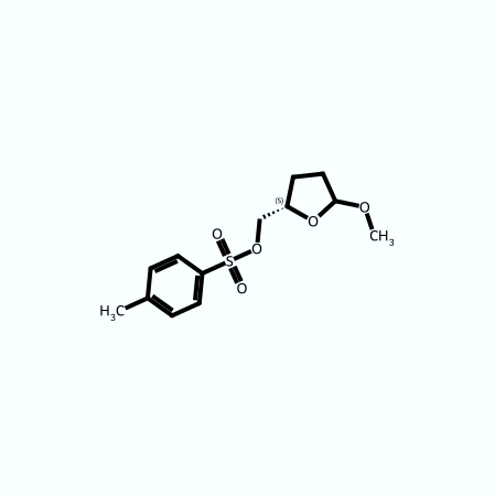 COC1CC[C@@H](COS(=O)(=O)c2ccc(C)cc2)O1